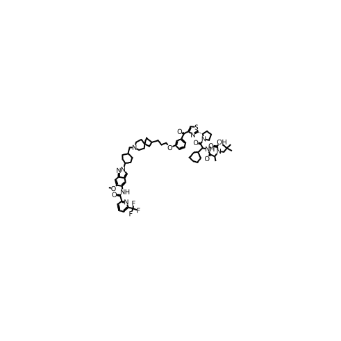 COc1cc2nn(C3CCC(CN4CCC5(CC4)CC(CCCOc4cccc(C(=O)c6csc([C@@H]7CCCN7C(=O)C(NC(=O)C(C)N(CC(C)(C)C)C(=O)O)C7CCCCC7)n6)c4)C5)CC3)cc2cc1NC(=O)c1cccc(C(F)(F)F)n1